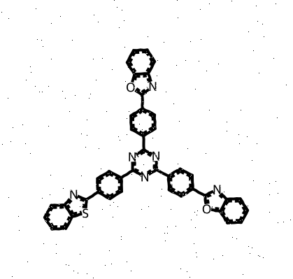 c1ccc2oc(-c3ccc(-c4nc(-c5ccc(-c6nc7ccccc7o6)cc5)nc(-c5ccc(-c6nc7ccccc7s6)cc5)n4)cc3)nc2c1